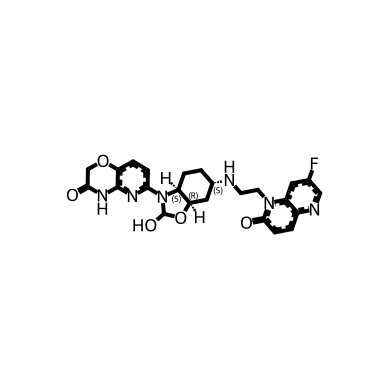 O=C1COc2ccc(N3C(O)O[C@@H]4C[C@@H](NCCn5c(=O)ccc6ncc(F)cc65)CC[C@@H]43)nc2N1